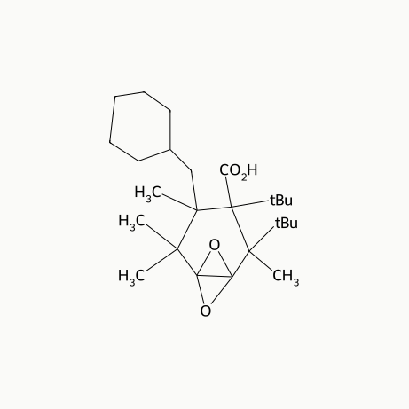 CC(C)(C)C1(C)C23OC2(O3)C(C)(C)C(C)(CC2CCCCC2)C1(C(=O)O)C(C)(C)C